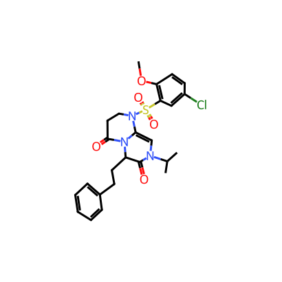 COc1ccc(Cl)cc1S(=O)(=O)N1CCC(=O)N2C1=CN(C(C)C)C(=O)C2CCc1ccccc1